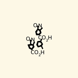 Cc1cccc(C)c1.O=C(O)c1ccc2c(c1)C=NC2=O.O=C(O)c1ccc2c(c1)C=NC2=O